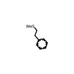 [CH2]SCCc1ccccc1